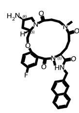 CN1CCC(=O)N2C[C@H](N)C[C@H]2COc2ccc(F)cc2C(=O)N(C)[C@H](C(=O)NCc2ccc3ccccc3c2)CCC1=O